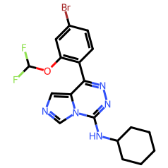 FC(F)Oc1cc(Br)ccc1-c1nnc(NC2CCCCC2)n2cncc12